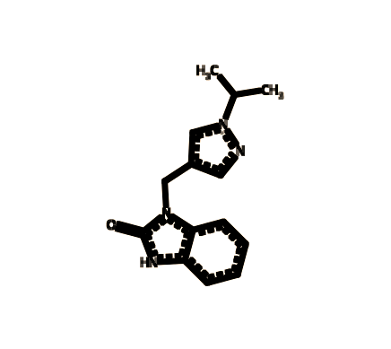 CC(C)n1cc(Cn2c(=O)[nH]c3ccccc32)cn1